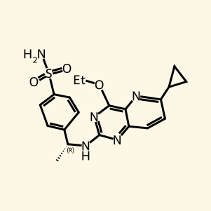 CCOc1nc(N[C@H](C)c2ccc(S(N)(=O)=O)cc2)nc2ccc(C3CC3)nc12